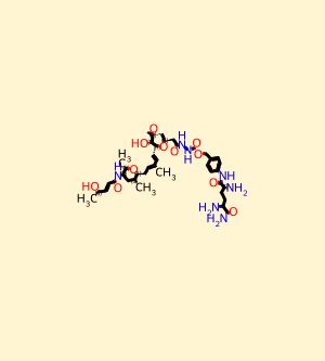 CC(C=C[C@H]1O[C@H](CC(=O)NNC(=O)OCc2ccc(NC(=O)[C@@H](N)CCC(N)C(N)=O)cc2)C[C@@]2(CO2)[C@@H]1O)=CC[C@@H]1O[C@H](C)[C@H](NC(=O)C=C[C@H](C)O)C[C@@H]1C